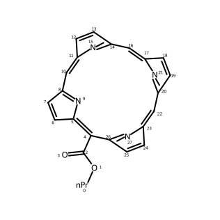 CCCOC(=O)C1=C2C=CC(=N2)C=C2C=CC(=N2)C=C2C=CC(=N2)C=C2C=CC1=N2